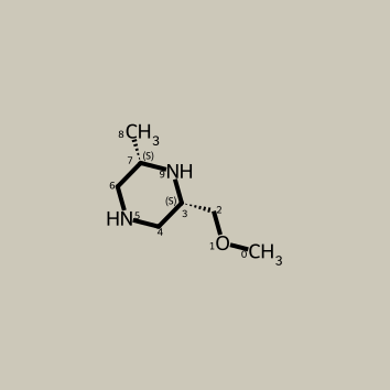 COC[C@@H]1CNC[C@H](C)N1